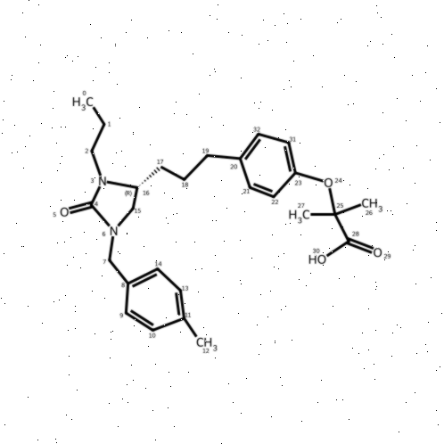 CCCN1C(=O)N(Cc2ccc(C)cc2)C[C@H]1CCCc1ccc(OC(C)(C)C(=O)O)cc1